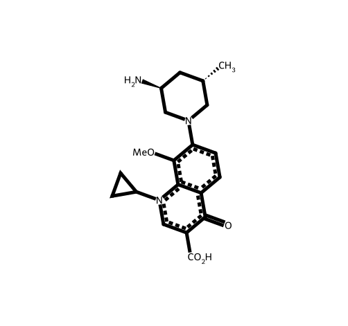 COc1c(N2C[C@@H](C)C[C@H](N)C2)ccc2c(=O)c(C(=O)O)cn(C3CC3)c12